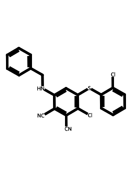 N#Cc1c(NCc2ccccc2)cc(Sc2ccccc2Cl)c(Cl)c1C#N